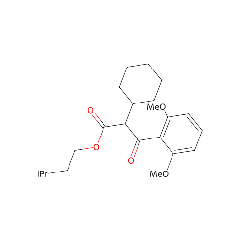 COc1cccc(OC)c1C(=O)C(C(=O)OCCC(C)C)C1CCCCC1